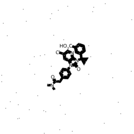 CN(C)C(=O)Cc1ccc(-n2c(=O)n(C3(c4cccc(C(=O)O)c4)CC3)c3ncc(Cl)cc32)cc1